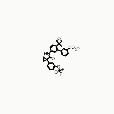 CC1(c2ccc(NC(=O)C3(c4ccc5c(c4)OC(F)(F)O5)CC3)cc2-c2cccc(C(=O)O)c2)COC1